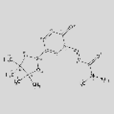 CN(C)C(=O)C=Cn1cc(B2OC(C)(C)C(C)(C)O2)ccc1=O